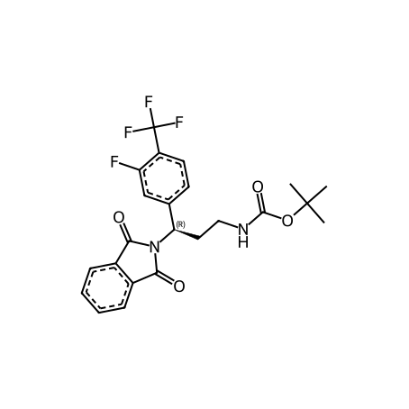 CC(C)(C)OC(=O)NCC[C@H](c1ccc(C(F)(F)F)c(F)c1)N1C(=O)c2ccccc2C1=O